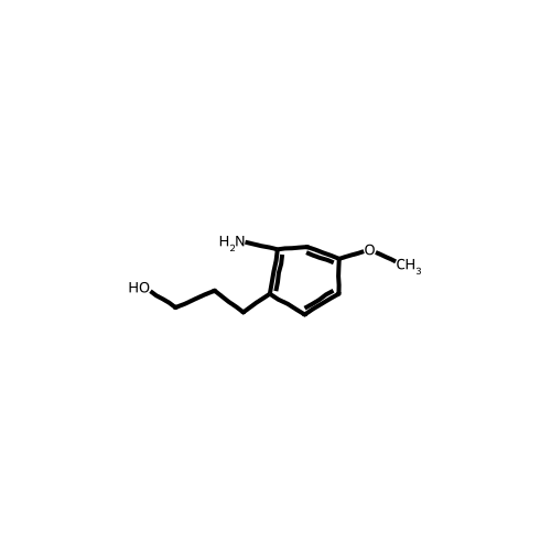 COc1ccc(CCCO)c(N)c1